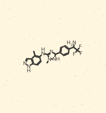 Cc1c(NC2=NC(c3ccc(C(N)C(F)(F)F)cc3)NN2C)ccc2[nH]ncc12